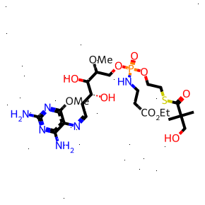 CCOC(=O)CCNP(=O)(OCCSC(=O)C(C)(C)CO)OCC(OC)C(O)[C@H](O)C/C=N\c1c(N)nc(N)nc1OC